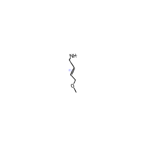 COC/C=C/C[NH]